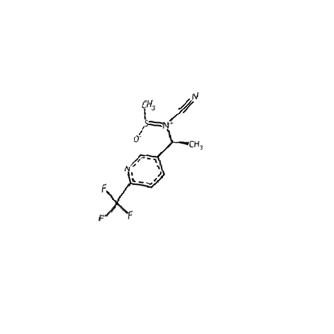 C[C@@H](c1ccc(C(F)(F)F)nc1)[N+](C#N)=S(C)[O-]